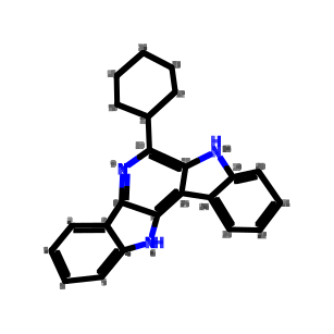 c1ccc2c(c1)[nH]c1c2nc(C2CCCCC2)c2[nH]c3ccccc3c21